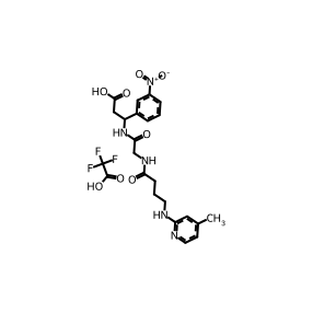 Cc1ccnc(NCCCC(=O)NCC(=O)NC(CC(=O)O)c2cccc([N+](=O)[O-])c2)c1.O=C(O)C(F)(F)F